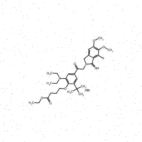 Br.CCOC(=O)CCCOc1c(N(CC)CC)cc(C(=O)CN2Cc3cc(OC)c(OC)c(F)c3C2=N)cc1C(C)(C)C